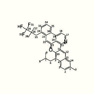 Cc1ccc2c(CC(C)C)c3c(cc2c1)-c1nccc2c1c(cc1c(CC(C)(C)C(F)(F)F)cccc12)O3